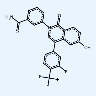 NC(=O)c1cccc(-n2cc(-c3ccc(C(F)(F)F)c(F)c3)c3cc(O)ccc3c2=O)c1